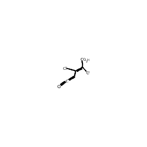 O=C=CC(Cl)=C(Cl)C(=O)O